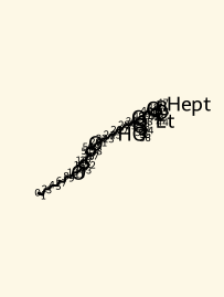 C=CCCCCCCCCCOc1ccc(-c2ccc(OCCCCCCCCCCC3OC(CC(C)O)CC(CC4CC(CC)OC(CCCCCCC)O4)O3)cc2)cc1